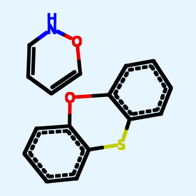 C1=CNOC=C1.c1ccc2c(c1)Oc1ccccc1S2